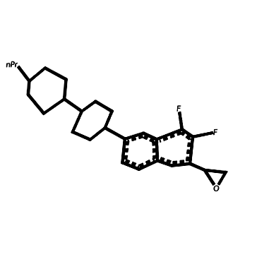 CCCC1CCC(C2CCC(c3ccc4cc(C5CO5)c(F)c(F)c4c3)CC2)CC1